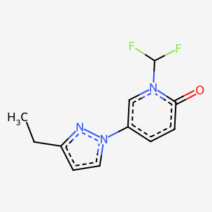 CCc1ccn(-c2ccc(=O)n(C(F)F)c2)n1